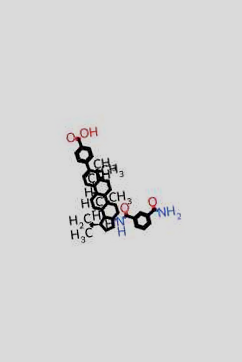 C=C(C)[C@@H]1CCC2(NC(=O)c3cccc(C(N)=O)c3)CC[C@]3(C)[C@H](CC[C@@H]4[C@@]5(C)CC=C(c6ccc(C(=O)O)cc6)C(C)(C)[C@@H]5CC[C@]43C)[C@@H]12